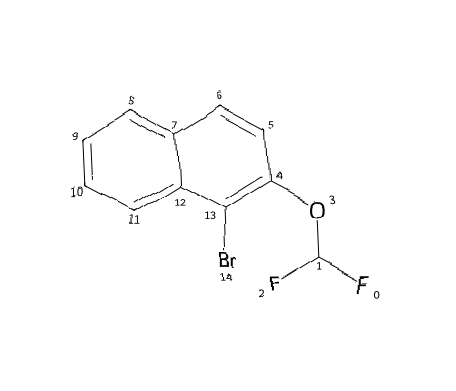 FC(F)Oc1ccc2ccccc2c1Br